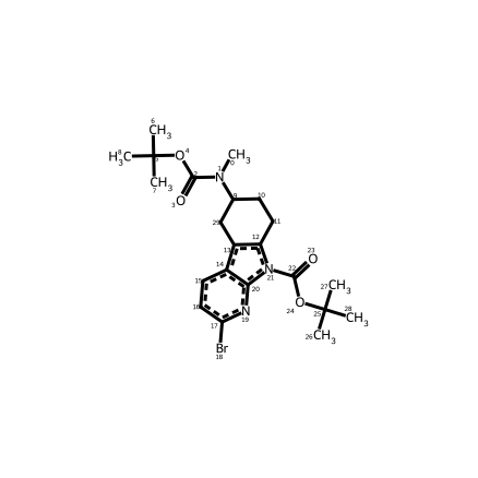 CN(C(=O)OC(C)(C)C)C1CCc2c(c3ccc(Br)nc3n2C(=O)OC(C)(C)C)C1